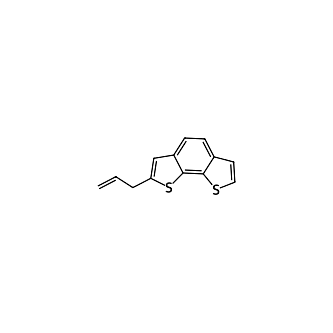 C=CCc1cc2ccc3ccsc3c2s1